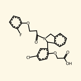 O=C(O)COc1ccc(Cl)cc1C1c2ccccc2CN1C(=O)CCOc1ccccc1F